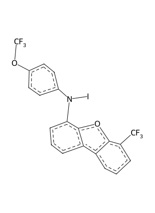 FC(F)(F)Oc1ccc(N(I)c2cccc3c2oc2c(C(F)(F)F)cccc23)cc1